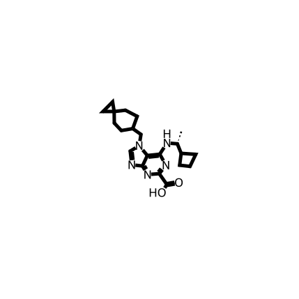 C[C@@H](Nc1nc(C(=O)O)nc2ncn(CC3CCC4(CC3)CC4)c12)C1CCC1